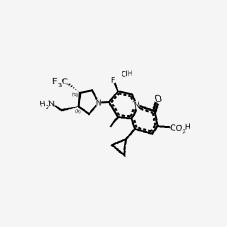 Cc1c(N2C[C@@H](CN)[C@H](C(F)(F)F)C2)c(F)cn2c(=O)c(C(=O)O)cc(C3CC3)c12.Cl